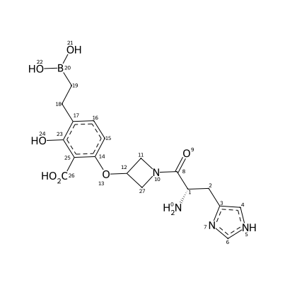 N[C@@H](Cc1c[nH]cn1)C(=O)N1CC(Oc2ccc(CCB(O)O)c(O)c2C(=O)O)C1